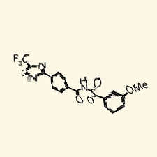 COc1cccc(S(=O)(=O)NC(=O)c2ccc(-c3noc(C(F)(F)F)n3)cc2)c1